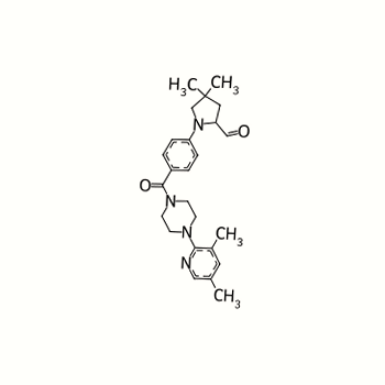 Cc1cnc(N2CCN(C(=O)c3ccc(N4CC(C)(C)CC4C=O)cc3)CC2)c(C)c1